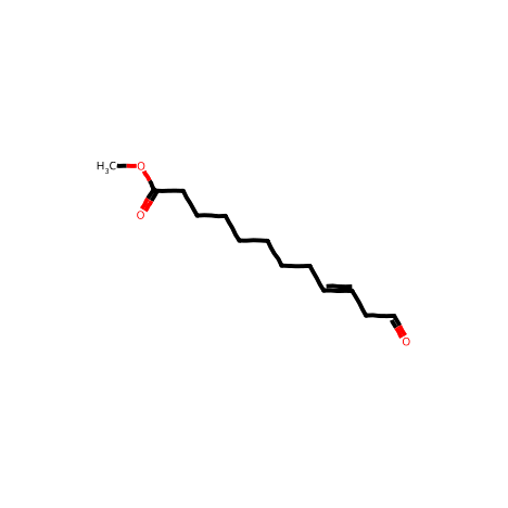 COC(=O)CCCCCCCC=CCC=O